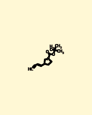 C#C/C=C/C1CCN(C(=O)OC(C)(C)C)C1